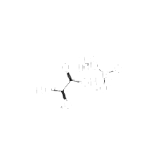 O=C(O)C(=O)O.[Li+].[Li+].[O-]B([O-])O